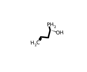 C=CC[C@@H](O)P